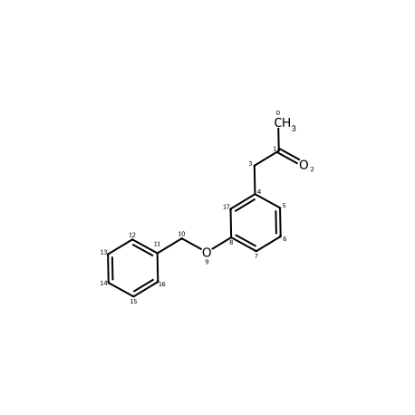 CC(=O)Cc1cccc(OCc2ccccc2)c1